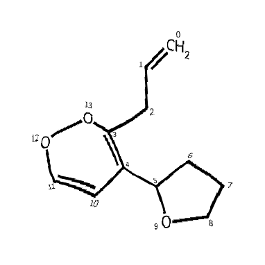 C=CCC1=C(C2CCCO2)C=COO1